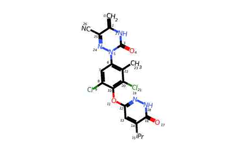 C=C1NC(=O)N(c2cc(Cl)c(Oc3cc(C(C)C)c(=O)[nH]n3)c(Cl)c2C)N=C1C#N